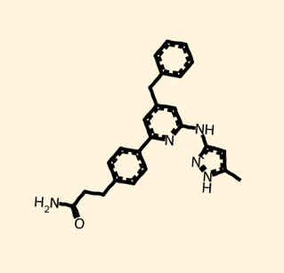 Cc1cc(Nc2cc(Cc3ccccc3)cc(-c3ccc(CCC(N)=O)cc3)n2)n[nH]1